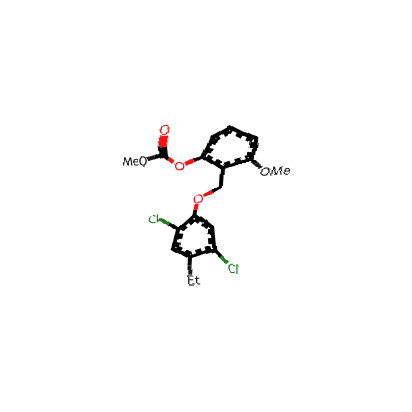 CCc1cc(Cl)c(OCc2c(OC)cccc2OC(=O)OC)cc1Cl